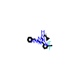 C[C@@H](Nc1nc(NCc2ccccc2)nc(-c2cccc(C(C)(F)F)n2)n1)C1CC1